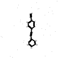 C#Cc1ccc(C#Cc2ccccc2)cc1